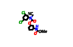 COC(=O)Nc1cccc(OC(=O)N(CC#N)c2cc(Cl)cc(Cl)c2)c1